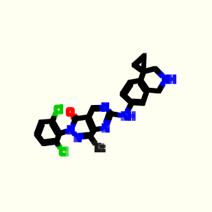 CCc1nn(-c2c(Cl)cccc2Cl)c(=O)c2cnc(Nc3ccc4c(c3)CNCC43CC3)nc12